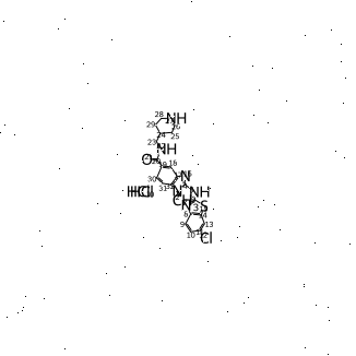 Cl.Cl.Cn1c(Nc2nc3ccc(Cl)cc3s2)nc2cc(C(=O)NCC3CCNCC3)ccc21